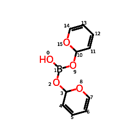 OB(OC1C=CC=CO1)OC1C=CC=CO1